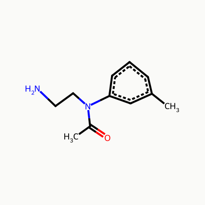 CC(=O)N(CCN)c1cccc(C)c1